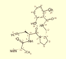 C#CC[C@H](NC(=O)[C@H](C)NC)C(=O)N1CCC[C@H]1CNC(=O)c1c(O)cccc1O